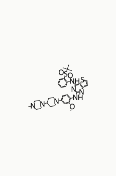 COc1cc(N2CCC(N3CCN(C)CC3)CC2)ccc1Nc1nc(Nc2ccccc2S(=O)(=O)C(C)(C)C)c2sccc2n1